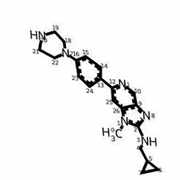 Cn1c(NCC2CC2)nc2cnc(-c3ccc(N4CCNCC4)cc3)cc21